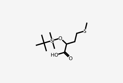 CSCCC(O[Si](C)(C)C(C)(C)C)C(=O)O